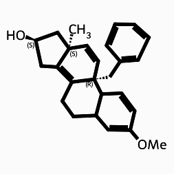 COC1=CC2CCC3=C4C[C@@H](O)C[C@@]4(C)C=C[C@@]3(Cc3ccccc3)C2C=C1